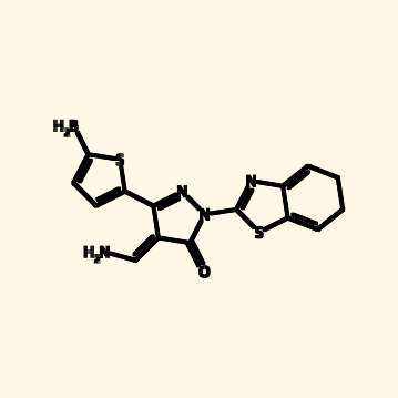 Bc1ccc(C2=NN(c3nc4c(s3)=CCCC=4)C(=O)/C2=C/N)s1